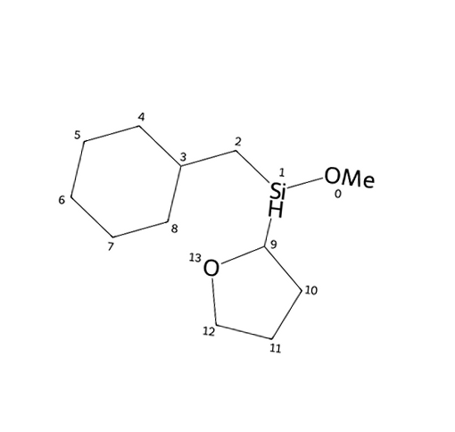 CO[SiH](CC1CCCCC1)C1CCCO1